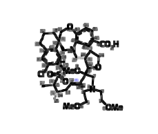 COCCN(CCOC)CC(OC)(/C(F)=C/C[C@H](C)[C@@H](C)S(N)(=O)=O)[C@@H]1OCC[C@H]1CN1C[C@@]2(CCCc3cc(Cl)ccc32)COc2ccc(C(=O)O)cc21